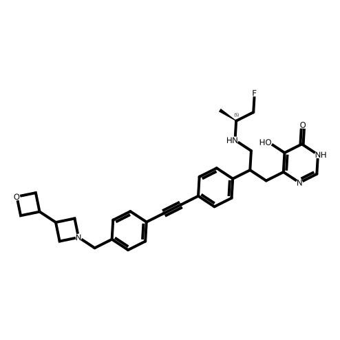 C[C@@H](CF)NCC(Cc1nc[nH]c(=O)c1O)c1ccc(C#Cc2ccc(CN3CC(C4COC4)C3)cc2)cc1